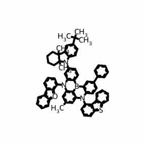 Cc1cc2c3c(c1)N(c1cccc4sc5ccccc5c14)c1ccc(-c4ccccc4)cc1B3c1ccc(N3c4ccc(C(C)(C)C)cc4C4(C)CCCCC34C)cc1N2c1cccc2c1oc1ccccc12